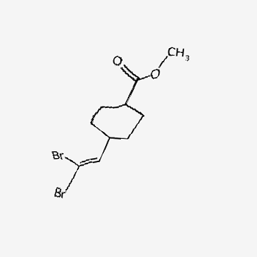 COC(=O)C1CCC(C=C(Br)Br)CC1